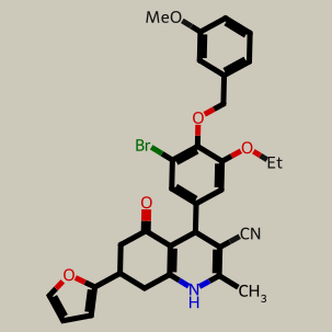 CCOc1cc(C2C(C#N)=C(C)NC3=C2C(=O)CC(c2ccco2)C3)cc(Br)c1OCc1cccc(OC)c1